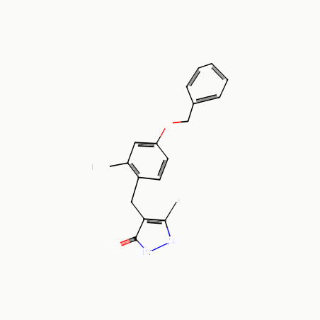 Cc1cc(OCc2ccccc2)ccc1Cc1c(C(C)C)[nH][nH]c1=O